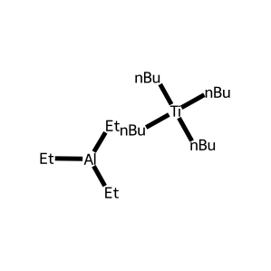 CCC[CH2][Ti]([CH2]CCC)([CH2]CCC)[CH2]CCC.C[CH2][Al]([CH2]C)[CH2]C